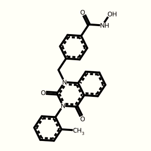 Cc1ccccc1-n1c(=O)c2ccccc2n(Cc2ccc(C(=O)NO)cc2)c1=O